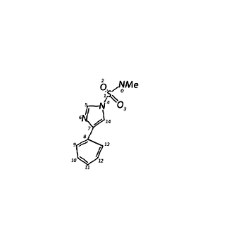 CNS(=O)(=O)n1cnc(-c2ccccc2)c1